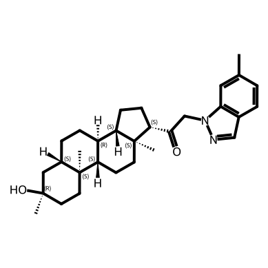 Cc1ccc2cnn(CC(=O)[C@H]3CC[C@H]4[C@@H]5CC[C@H]6C[C@](C)(O)CC[C@]6(C)[C@H]5CC[C@]34C)c2c1